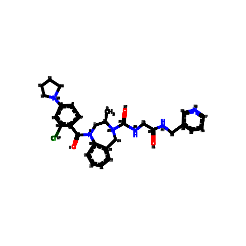 C[C@@H]1CN(C(=O)c2ccc(N3CCCC3)cc2Cl)c2ccccc2CN1C(=O)NCC(=O)NCc1cccnc1